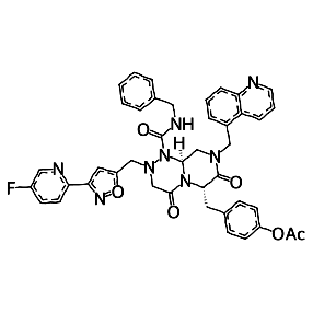 CC(=O)Oc1ccc(C[C@H]2C(=O)N(Cc3cccc4ncccc34)C[C@H]3N2C(=O)CN(Cc2cc(-c4ccc(F)cn4)no2)N3C(=O)NCc2ccccc2)cc1